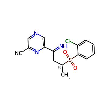 C[C@@H](CC(=N)c1cncc(C#N)n1)S(=O)(=O)c1ccccc1Cl